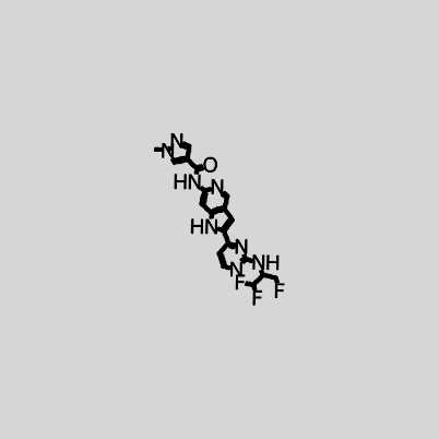 Cn1cc(C(=O)Nc2cc3[nH]c(-c4ccnc(NC(CF)C(F)F)n4)cc3cn2)cn1